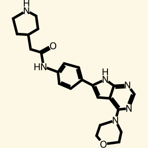 O=C(CC1CCNCC1)Nc1ccc(-c2cc3c(N4CCOCC4)ncnc3[nH]2)cc1